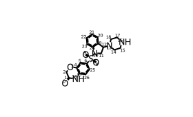 O=C1COc2cc(S(=O)(=O)N3CC(N4CCNCC4)c4ccccc43)ccc2N1